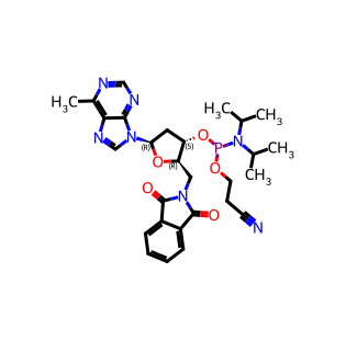 Cc1ncnc2c1ncn2[C@H]1C[C@H](OP(OCCC#N)N(C(C)C)C(C)C)[C@@H](CN2C(=O)c3ccccc3C2=O)O1